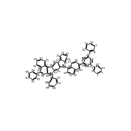 c1ccc(-c2nc(-c3ccccc3)nc(-c3ccc4c(-n5c6ccccc6c6cc7c8c9ccccc9c(-c9ccccc9)cc8n(-c8ccccc8)c7cc65)cccc4c3)n2)cc1